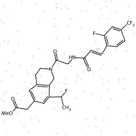 COC(=O)Cc1cc2c(c(C(C)F)c1)CN(C(=O)CNC(=O)/C=C/c1ccc(C(F)(F)F)cc1F)CC2